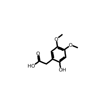 COc1cc(O)c(CC(=O)O)cc1OC